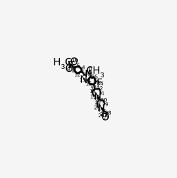 Cn1c(-c2ccc(S(C)(=O)=O)cc2)nc2cc(C3CCN(C4CCN(C5COC5)CC4)CC3)c(F)cc21